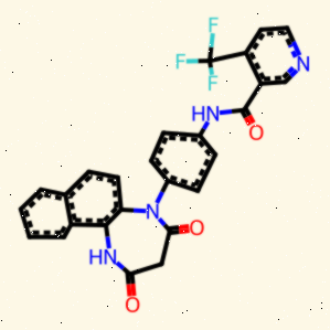 O=C1CC(=O)N(c2ccc(NC(=O)c3cnccc3C(F)(F)F)cc2)c2ccc3ccccc3c2N1